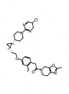 Cc1nc2c(o1)CN(C(=O)Cc1ccc(OCC[C@@H]3C[C@@H]3C3CCN(C4=NCC(Cl)C=N4)CC3)cc1F)CC2